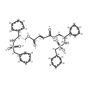 O=C(/C=C/C(=O)OC[C@H](NS(=O)(=O)Cc1ccccc1)c1ccccc1)OC[C@H](NS(=O)(=O)Cc1ccccc1)c1ccccc1